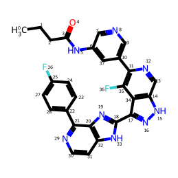 CCCC(=O)Nc1cncc(-c2ncc3[nH]nc(-c4nc5c(-c6ccc(F)cc6)nccc5[nH]4)c3c2F)c1